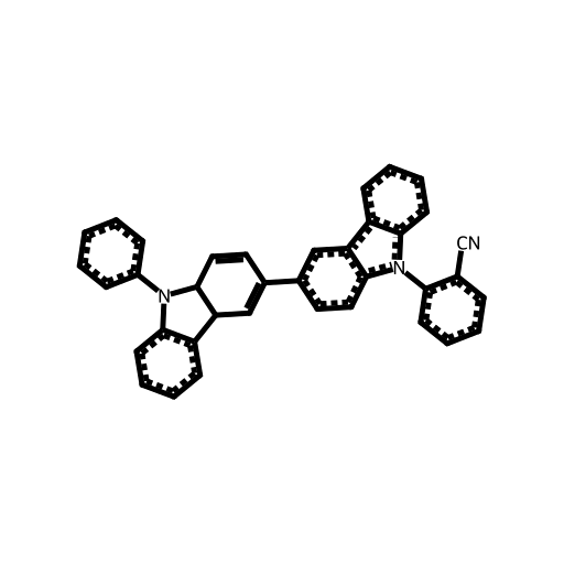 N#Cc1ccccc1-n1c2ccccc2c2cc(C3=CC4c5ccccc5N(c5ccccc5)C4C=C3)ccc21